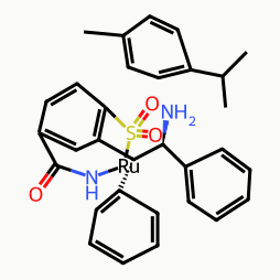 Cc1ccc(C(C)C)cc1.N[C@@H](c1ccccc1)[C@H](c1ccccc1)c1cc2ccc1[S](=O)(=O)[Ru][NH]C2=O